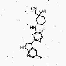 N#CCC1(O)CCC[C@H](Nc2nc(C3CNc4ncc(F)cc43)ncc2F)C1